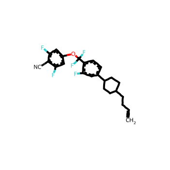 C=CCCC1CCC(c2ccc(C(F)(F)Oc3cc(F)c(C#N)c(F)c3)c(F)c2)CC1